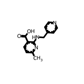 Cc1ccc(C(=O)O)c(NCc2ccncc2)n1